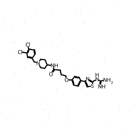 N=C(N)Nc1nc(-c2ccc(OCCCC(=O)NC3CCN(Cc4ccc(Cl)c(Cl)c4)CC3)cc2)cs1